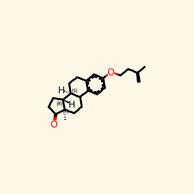 C=C(C)CCOc1ccc2c(c1)CC[C@H]1C2CC[C@@]2(C)C(=O)CC[C@H]12